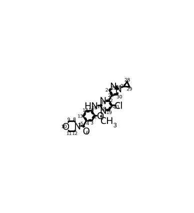 COc1cc(C(=O)N2CCOCC2)ccc1Nc1ncc(Cl)c(-c2cnn(C3CC3)c2)n1